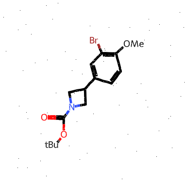 COc1ccc(C2CN(C(=O)OC(C)(C)C)C2)cc1Br